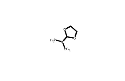 [PH2][Ir]([PH2])[CH]1OCCO1